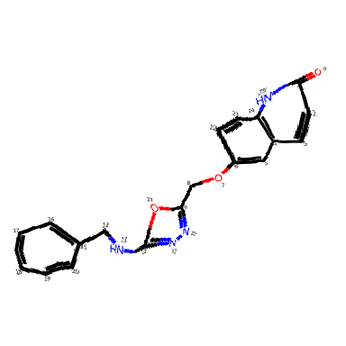 O=c1ccc2cc(OCc3nnc(NCc4ccccc4)o3)ccc2[nH]1